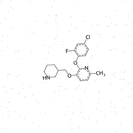 Cc1ccc(OCC2CCCNC2)c(Oc2ccc(Cl)cc2F)n1